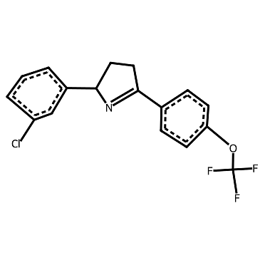 FC(F)(F)Oc1ccc(C2=NC(c3cccc(Cl)c3)CC2)cc1